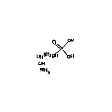 N.N.O=P(O)(O)O.[LiH].[LiH]